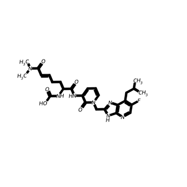 CC(C)Cc1c(F)cnc2[nH]c(Cn3cccc(NC(=O)C(CC/C=C/C(=O)N(C)C)NC(=O)O)c3=O)nc12